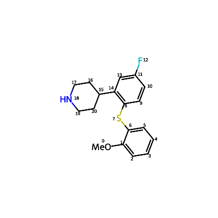 COc1ccccc1Sc1ccc(F)cc1C1CCNCC1